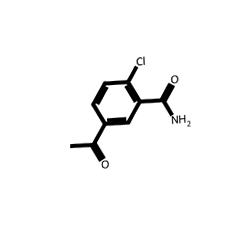 CC(=O)c1ccc(Cl)c(C(N)=O)c1